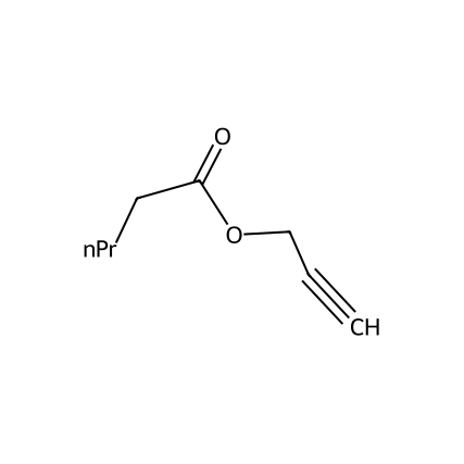 C#CCOC(=O)CCC[CH2]